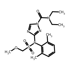 CCN(CC)C(=O)n1cnc(N(c2c(C)cccc2C)S(=O)(=O)COC)n1